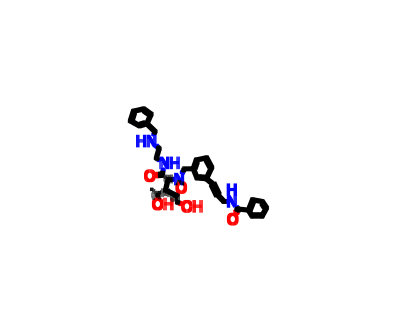 C[C@@H](O)[C@H]1[C@@H](CO)ON(Cc2cccc(C#CCNC(=O)c3ccccc3)c2)[C@H]1C(=O)NCCNCc1ccccc1